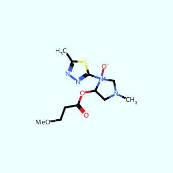 COCCC(=O)OC1CN(C)C[N+]1([O-])c1nnc(C)s1